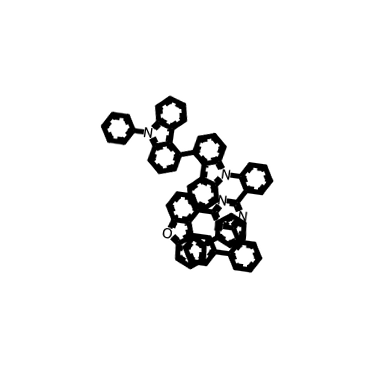 c1ccc(-c2ccccc2-c2nc(-c3ccccc3-n3c4ccccc4c4c(-c5cccc6c5c5ccccc5n6-c5ccccc5)cccc43)nc(-c3cccc4oc5cccc(-c6ccccc6)c5c34)n2)cc1